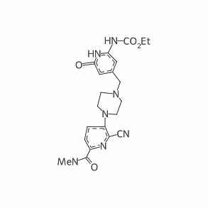 CCOC(=O)Nc1cc(CN2CCN(c3ccc(C(=O)NC)nc3C#N)CC2)cc(=O)[nH]1